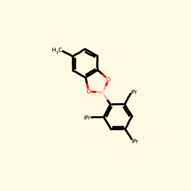 Cc1ccc2c(c1)OB(c1c(C(C)C)cc(C(C)C)cc1C(C)C)O2